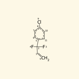 C=CC(F)(F)c1ccc(Cl)cc1